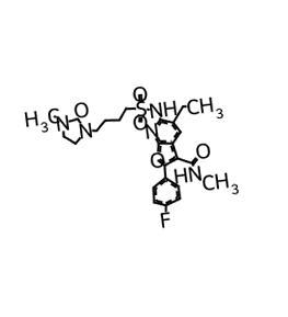 CCc1cc2c(C(=O)NC)c(-c3ccc(F)cc3)oc2nc1NS(=O)(=O)CCCCN1CCN(C)C1=O